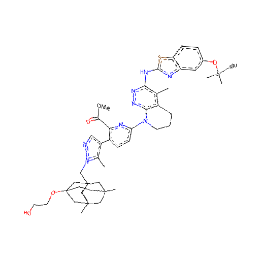 COC(=O)c1nc(N2CCCc3c2nnc(Nc2nc4cc(O[Si](C)(C)C(C)(C)C)ccc4s2)c3C)ccc1-c1cnn(CC23CC4(C)CC(C)(C2)CC(OCCO)(C4)C3)c1C